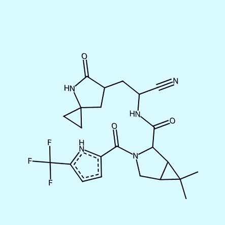 CC1(C)C2CN(C(=O)c3ccc(C(F)(F)F)[nH]3)C(C(=O)NC(C#N)CC3CC4(CC4)NC3=O)C21